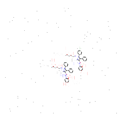 CC(C)c1c(C(=O)Nc2ccc(O)cc2O)c(-c2ccccc2)c(-c2ccc(F)cc2)n1CC[C@@H](O)C[C@@H](O)CC(=O)[O-].CC(C)c1c(C(=O)Nc2ccc(O)cc2O)c(-c2ccccc2)c(-c2ccc(F)cc2)n1CC[C@@H](O)C[C@@H](O)CC(=O)[O-].[Ca+2]